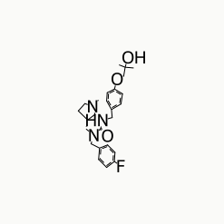 CN1CC[C@@H](CN(Cc2ccc(F)cc2)C(=O)NCc2ccc(OCC(C)(C)O)cc2)C1